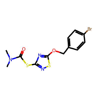 CN(C)C(=O)Sc1nsc(OCc2ccc(Br)cc2)n1